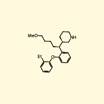 CCc1ccccc1Oc1ccccc1[C@@H](CCCCOC)[C@H]1CCCNC1